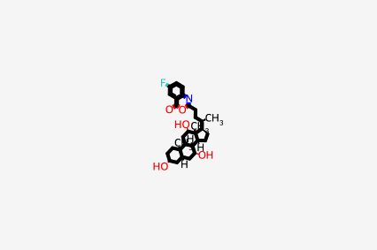 C[C@H](CCc1nc2ccc(F)cc2c(=O)o1)[C@H]1CC[C@H]2[C@H]3C(C[C@H](O)[C@]12C)[C@@]1(C)CC[C@@H](O)C[C@H]1C[C@H]3O